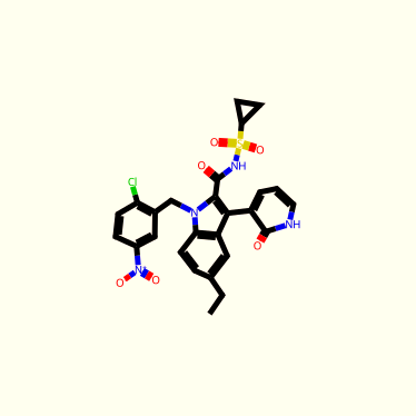 CCc1ccc2c(c1)c(-c1ccc[nH]c1=O)c(C(=O)NS(=O)(=O)C1CC1)n2Cc1cc([N+](=O)[O-])ccc1Cl